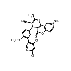 COc1ccc(C2C(C#N)=C(N)Oc3c2c(=O)oc2ccc(N)cc32)cc1-c1cnc(Cl)cc1Cl